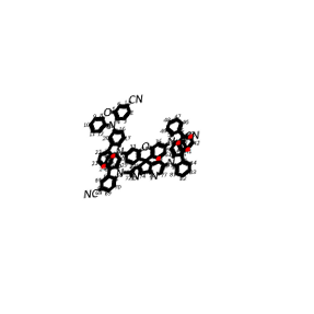 N#Cc1ccc2c(c1)Oc1ccccc1N2c1ccc2c(c1)c1ccccc1n2-c1ccc2c(c1)Oc1cc(-n3c4ccccc4c4ccccc43)ccc1C21c2cc(-n3c4ccccc4c4cc(C#N)ccc43)cnc2-c2ncc(-n3c4ccccc4c4cc(C#N)ccc43)cc21